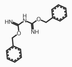 N=C(NC(=N)OCc1ccccc1)OCc1ccccc1